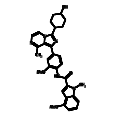 COc1cc(-c2nc(C3CCC(O)CC3)n3ccnc(C)c23)ccc1NC(=O)c1cc2c(OC)cccc2n1C